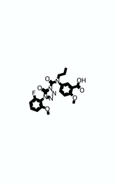 CCCN(C(=O)n1nnn(-c2c(F)cccc2OC)c1=O)c1ccc(OC)c(C(=O)O)c1